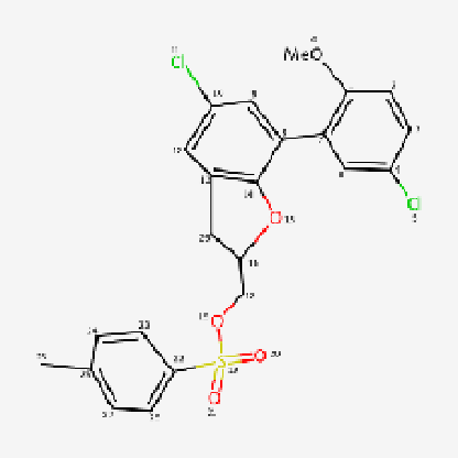 COc1ccc(Cl)cc1-c1cc(Cl)cc2c1OC(COS(=O)(=O)c1ccc(C)cc1)C2